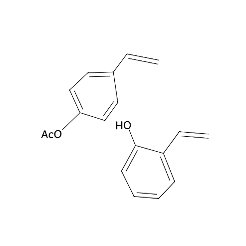 C=Cc1ccc(OC(C)=O)cc1.C=Cc1ccccc1O